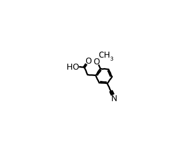 COc1ccc(C#N)cc1CC(=O)O